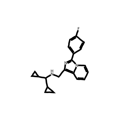 Fc1ccc(-c2nc(CNC(C3CC3)C3CC3)c3ccccn23)cc1